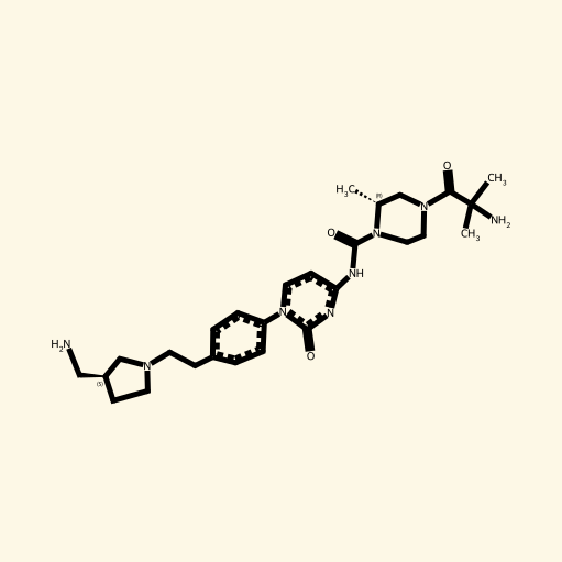 C[C@@H]1CN(C(=O)C(C)(C)N)CCN1C(=O)Nc1ccn(-c2ccc(CCN3CC[C@@H](CN)C3)cc2)c(=O)n1